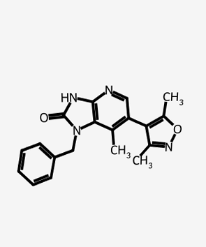 Cc1noc(C)c1-c1cnc2[nH]c(=O)n(Cc3ccccc3)c2c1C